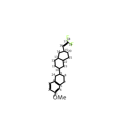 COc1ccc2c(c1)CCC(C1CCC3CC(C=C(F)F)CCC3C1)C2